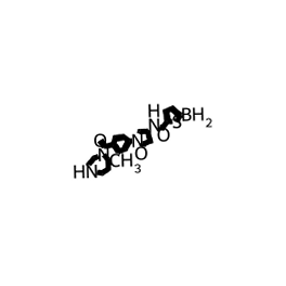 Bc1ccc(C(=O)NC2CC(=O)N(c3ccc(C(=O)N4CCCNCC4)c(C)c3)C2)s1